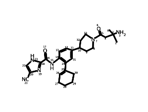 CC(C)(N)CC(=O)N1CCC(c2ccc(NC(=O)c3nc(C#N)c[nH]3)c(C3=CCCCC3)c2)CC1